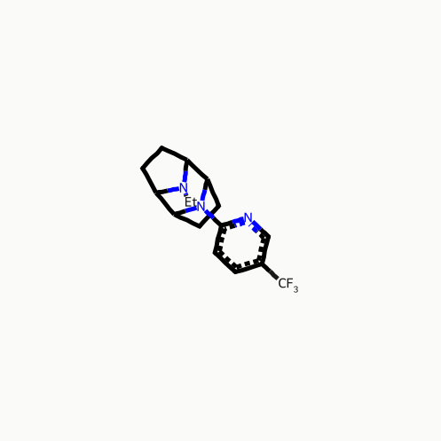 CCN1C2CCC1C1CCC2N1c1ccc(C(F)(F)F)cn1